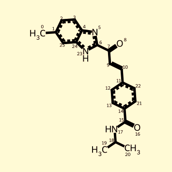 Cc1ccc2nc(C(=O)C=Cc3ccc(C(=O)NC(C)C)cc3)[nH]c2c1